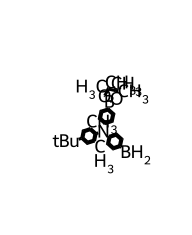 Bc1ccc(N(c2ccc(B3OC(C)(C)C(C)(C)O3)cc2)c2c(C)cc(C(C)(C)C)cc2C)cc1